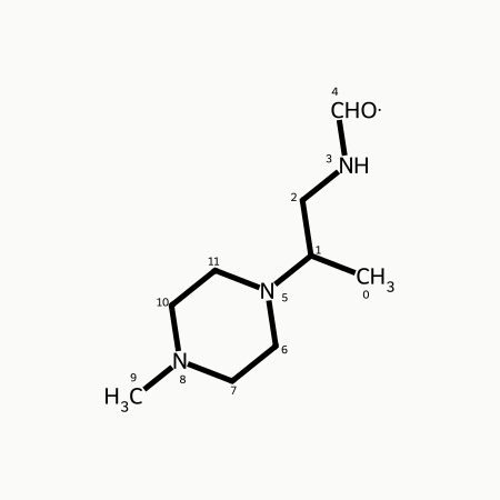 CC(CN[C]=O)N1CCN(C)CC1